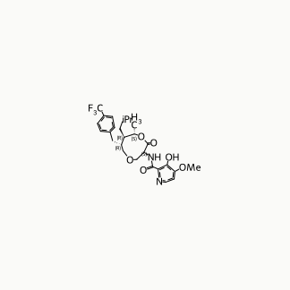 COc1ccnc(C(=O)N[C@H]2COC[C@H](Cc3ccc(C(F)(F)F)cc3)[C@@H](CC(C)C)[C@H](C)OC2=O)c1O